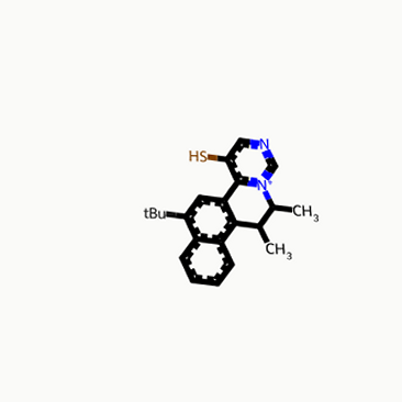 CC1c2c(cc(C(C)(C)C)c3ccccc23)-c2c(S)cnc[n+]2C1C